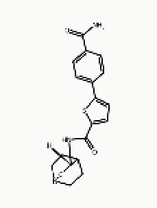 NC(=O)c1ccc(-c2ccc(C(=O)N[C@H]3CN4CCC3CC4)s2)cc1